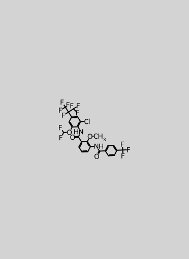 COc1c(NC(=O)c2ccc(C(F)(F)F)cc2)cccc1C(=O)Nc1c(Cl)cc(C(F)(C(F)(F)F)C(F)(F)F)cc1OC(F)F